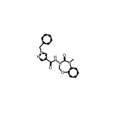 CN1C(=O)N(NC(=O)c2cnn(Cc3ccccc3)c2)COc2ccccc21